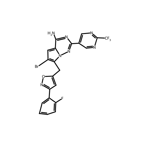 Nc1nc(-c2cnc(C(F)(F)F)nc2)nn2c(Cc3cc(-c4ccccc4F)no3)c(Br)cc12